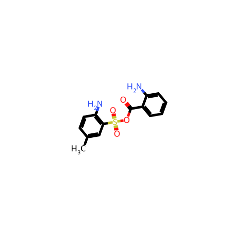 Cc1ccc(N)c(S(=O)(=O)OC(=O)c2ccccc2N)c1